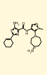 Cn1ncc(NC(=O)c2nc(C3=CCCCC3)sc2N)c1N1CCC[C@@H](N)CC1